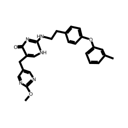 COc1ncc(Cc2c[nH]c(NCCc3ccc(Oc4cccc(C)c4)cc3)nc2=O)cn1